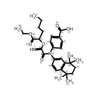 CCCCC(OC(=N)C(=O)N(c1ccc(C(=O)O)cc1)c1ccc2c(c1)C(C)(C)CCC2(C)C)C(=O)OCC